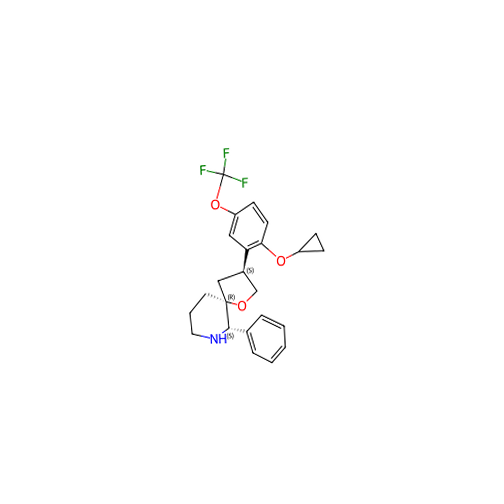 FC(F)(F)Oc1ccc(OC2CC2)c([C@H]2CO[C@]3(CCCN[C@H]3c3ccccc3)C2)c1